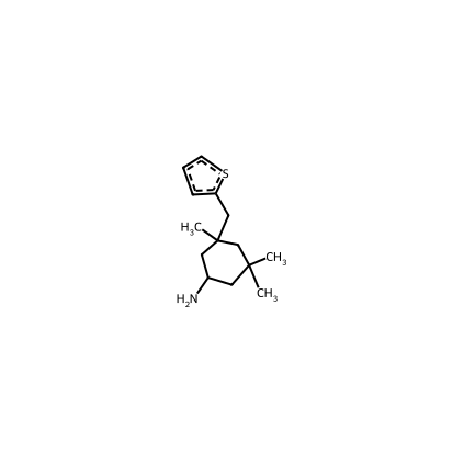 CC1(C)CC(N)CC(C)(Cc2cccs2)C1